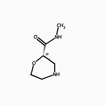 CNC(=O)[C@@H]1CNCCO1